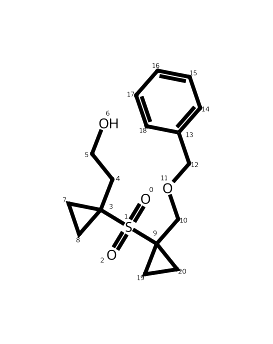 O=S(=O)(C1(CCO)CC1)C1(COCc2ccccc2)CC1